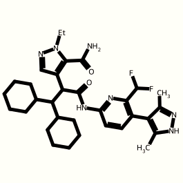 CCn1ncc(C(C(=O)Nc2ccc(-c3c(C)n[nH]c3C)c(C(F)F)n2)C(C2CCCCC2)C2CCCCC2)c1C(N)=O